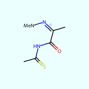 CN/N=C(/C)C(=O)NC(C)=S